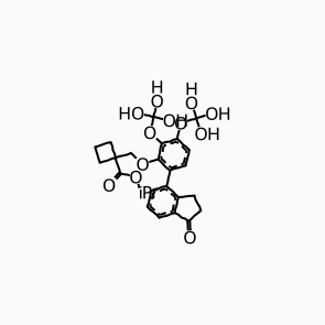 CC(C)OC(=O)C1(COc2c(-c3cccc4c3CCC4=O)ccc(OC(O)(O)O)c2OC(O)(O)O)CCC1